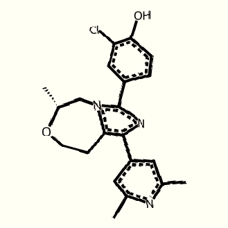 Cc1cc(-c2nc(-c3ccc(O)c(Cl)c3)n3c2CCO[C@H](C)C3)cc(C)n1